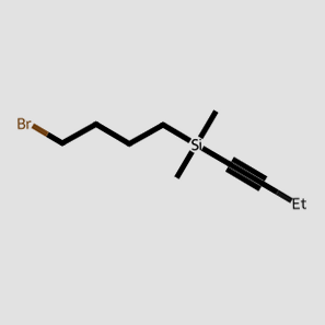 CCC#C[Si](C)(C)CCCCBr